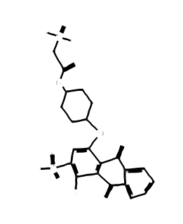 Nc1c(S(=O)(=O)O)cc(NC2CCC(NC(=O)CP(=O)(O)O)CC2)c2c1C(=O)c1ccccc1C2=O